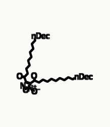 CCCCCCCCCCCCCCCCCCCC(=O)c1no[n+]([O-])c1C(=O)CCCCCCCCCCCCCCCCCCC